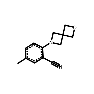 Cc1ccc(N2CC3(COC3)C2)c(C#N)c1